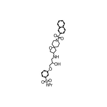 CCCS(=O)(=O)c1cccc(OCC(O)CNC2COC3(CCN(S(=O)(=O)c4ccc5ccccc5c4)CC3)C2)c1